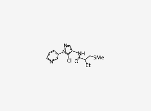 CCC(CSC)C(=O)Nc1cnn(-c2cccnc2)c1Cl